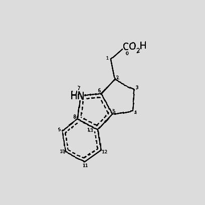 O=C(O)CC1CCc2c1[nH]c1ccccc21